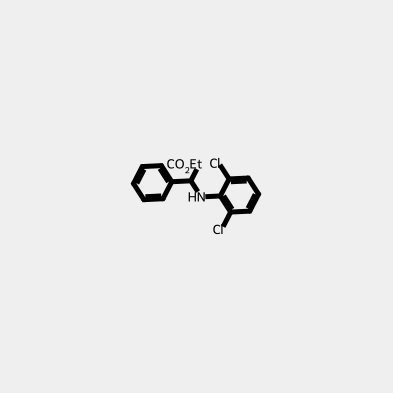 CCOC(=O)C(Nc1c(Cl)cccc1Cl)c1ccccc1